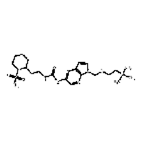 C[Si](C)(C)CCOCn1ccc2nc(NC(=O)NCCC3CCCCN3S(C)(=O)=O)cnc21